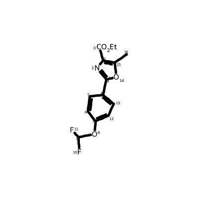 CCOC(=O)c1nc(-c2ccc(OC(F)F)cc2)oc1C